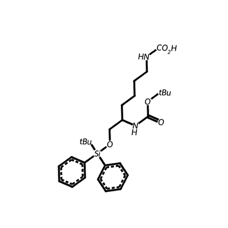 CC(C)(C)OC(=O)NC(CCCCNC(=O)O)CO[Si](c1ccccc1)(c1ccccc1)C(C)(C)C